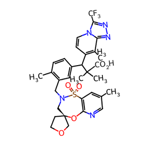 Cc1cnc2c(c1)S(=O)(=O)N(Cc1cc(C(c3ccn4c(C(F)(F)F)nnc4c3C)C(C)(C)C(=O)O)ccc1C)C[C@@]1(CCOC1)O2